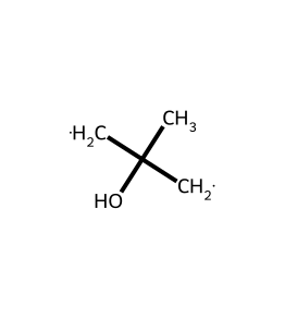 [CH2]C([CH2])(C)O